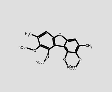 CCCCCCCCOc1c(C)cc2oc3cc(C)c(OCCCCCCCC)c(OCCCCCCCC)c3c2c1OCCCCCCCC